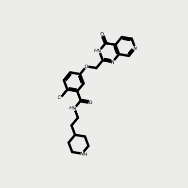 O=C(NCCC1CCNCC1)c1cc(OCc2nc3cnccc3c(=O)[nH]2)ccc1Cl